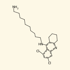 NCCCCCCCCCCNc1c2c(nc3cc(Cl)cc(Cl)c13)CCCC2